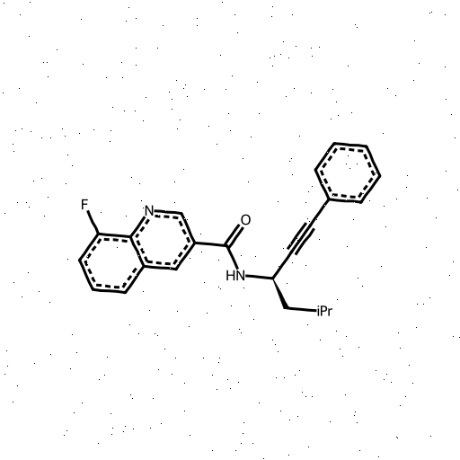 CC(C)C[C@H](C#Cc1ccccc1)NC(=O)c1cnc2c(F)cccc2c1